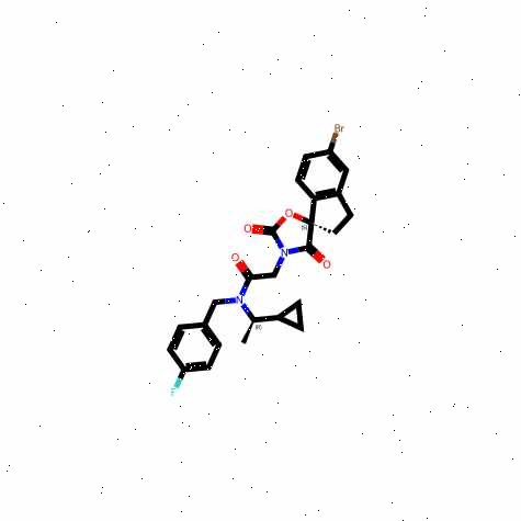 C[C@H](C1CC1)N(Cc1ccc(F)cc1)C(=O)CN1C(=O)O[C@]2(CCc3cc(Br)ccc32)C1=O